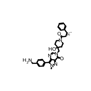 C[C@H](CC(=O)N1CCC(O)(Cn2cnc3c(-c4ccc(CN)cc4)n(C)nc3c2=O)CC1)c1ccccc1